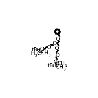 CC(C)(C)[Si](C)(C)OCCOCCOCC(COCc1ccccc1)OCCOCCO[Si](C)(C)C(C)(C)C